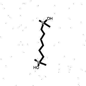 C[Si](C)(O)CCCCCC[Si](C)(C)O